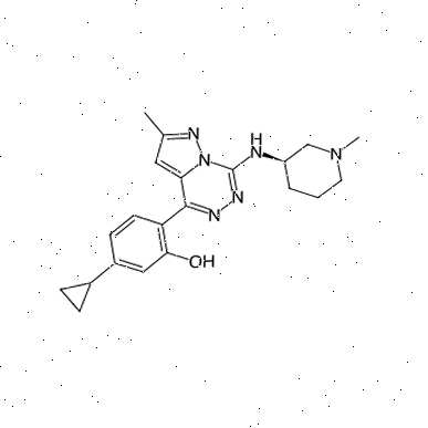 Cc1cc2c(-c3ccc(C4CC4)cc3O)nnc(N[C@@H]3CCCN(C)C3)n2n1